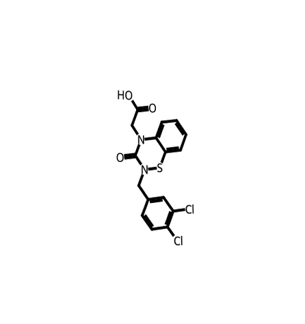 O=C(O)CN1C(=O)N(Cc2ccc(Cl)c(Cl)c2)Sc2ccccc21